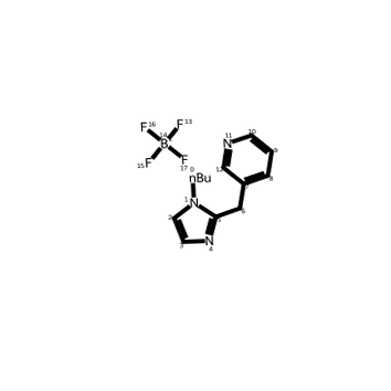 CCCCn1ccnc1Cc1cccnc1.F[B-](F)(F)F